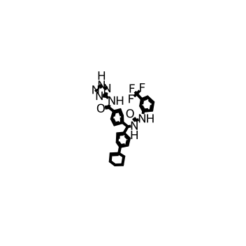 O=C(Nc1cccc(C(F)(F)F)c1)NC(c1ccc(C(=O)Nc2nn[nH]n2)cc1)c1ccc(C2=CCCCC2)cc1